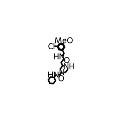 COc1ccc(CNC(=O)CC2CN(C(=O)NC3CCCCC3)CCN2)cc1Cl